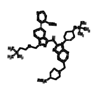 CCOC(=O)C1CCN(Cc2ccc3c(c2)nc(Nc2nn(COCC[Si](C)(C)C)c4ccc(-c5cnccc5OC)cc24)n3C2CCC(O[Si](C)(C)C(C)(C)C)CC2)CC1